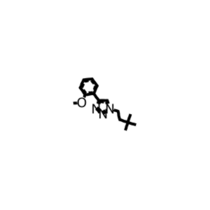 COc1ccccc1-c1cn(CCC(C)(C)C)nn1